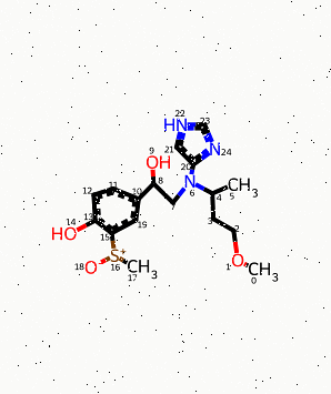 COCCC(C)N(CC(O)c1ccc(O)c([S+](C)[O-])c1)c1c[nH]cn1